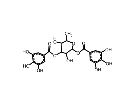 [CH2]C1OC(OC(=O)c2cc(O)c(O)c(O)c2)C(O)C(OC(=O)c2cc(O)c(O)c(O)c2)C1O